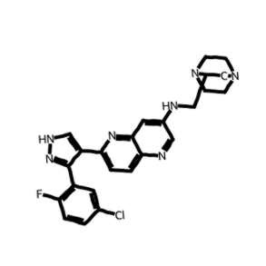 Fc1ccc(Cl)cc1-c1n[nH]cc1-c1ccc2ncc(NCC3CN4CCN3CC4)cc2n1